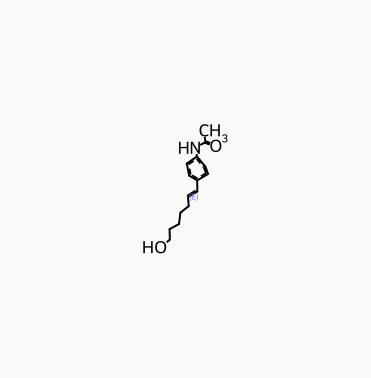 CC(=O)Nc1ccc(/C=C/CCCCCO)cc1